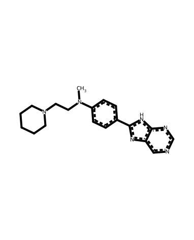 CN(CCN1CCCCC1)c1ccc(-c2nc3cncnc3[nH]2)cc1